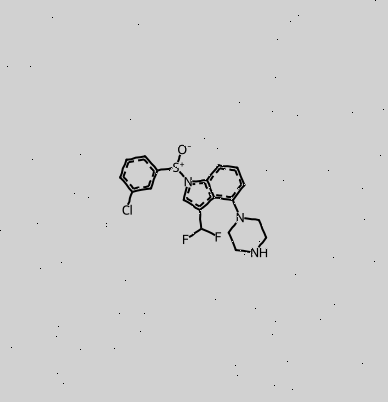 [O-][S+](c1cccc(Cl)c1)n1cc(C(F)F)c2c(N3CCNCC3)cccc21